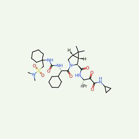 CCC[C@H](NC(=O)[C@@H]1[C@@H]2[C@H](CN1C(=O)[C@@H](NC(=O)NC1(CS(=O)(=O)N(C)C)CCCCC1)C1CCCCC1)C2(C)C)C(=O)C(=O)NC1CC1